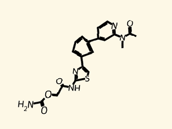 CC(=O)N(C)c1cc(-c2cccc(-c3csc(NC(=O)COC(N)=O)n3)c2)ccn1